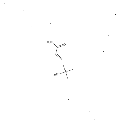 C=CC(N)=O.CCC[N+](C)(C)C.[F-]